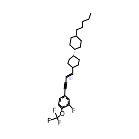 CCCCC[C@H]1CC[C@H](C2CCC(/C=C/C#Cc3ccc(OC(F)(F)F)c(F)c3)CC2)CC1